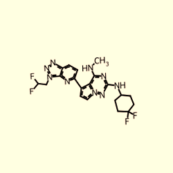 CNc1nc(NC2CCC(F)(F)CC2)nn2ccc(-c3ccc4nnn(CC(F)F)c4n3)c12